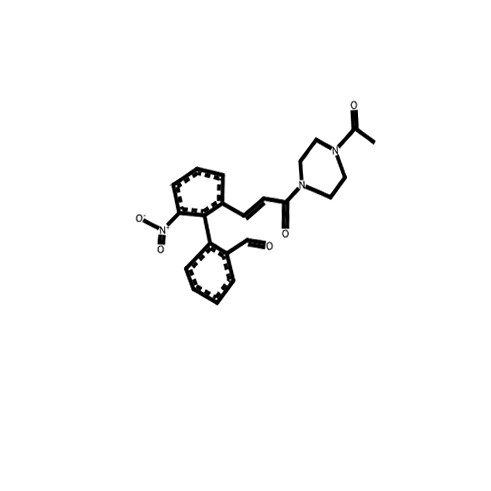 CC(=O)N1CCN(C(=O)/C=C/c2cc[c]c([N+](=O)[O-])c2-c2ccccc2C=O)CC1